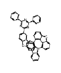 c1ccc(-c2nc(-c3ccccc3)nc(-c3ccc4sc5cccc(-c6cccc7sc8cccc(-n9c%10ccccc%10c%10ccccc%109)c8c67)c5c4c3)n2)cc1